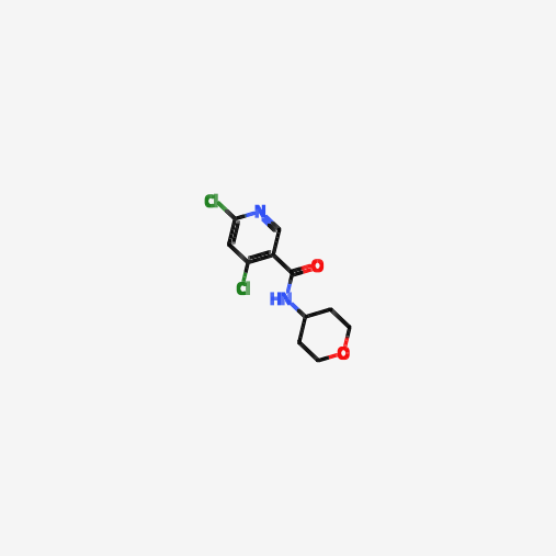 O=C(NC1CCOCC1)c1cnc(Cl)cc1Cl